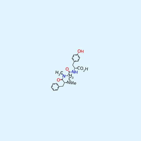 CN[C@@H](Cc1ccccc1)C(=O)N(C)[C@@H](C)C(=O)N[C@@H](Cc1ccc(O)cc1)C(=O)O